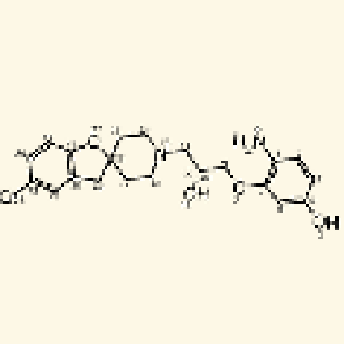 Nc1ccc(O)cc1OC[C@H](O)CN1CCC2(CC1)Cc1cc(Cl)ccc1O2